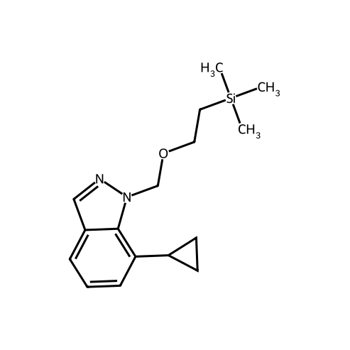 C[Si](C)(C)CCOCn1ncc2cccc(C3CC3)c21